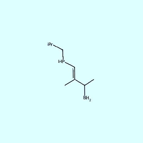 BC(C)/C(C)=C/PCC(C)C